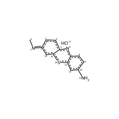 CN=c1ccc2nc3ccc(N)cc3sc-2c1.Cl